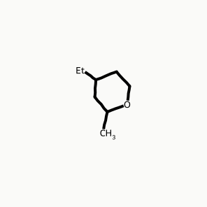 CCC1CCOC(C)C1